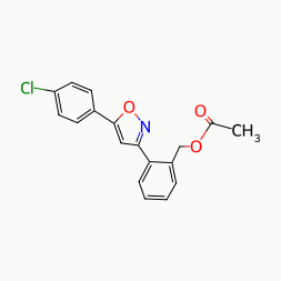 CC(=O)OCc1ccccc1-c1cc(-c2ccc(Cl)cc2)on1